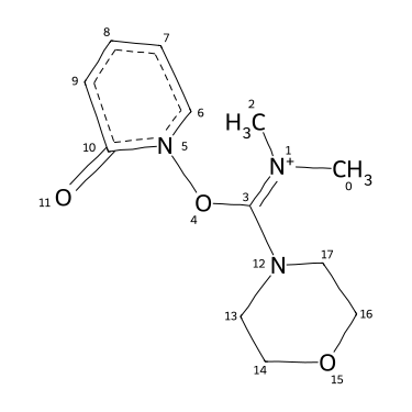 C[N+](C)=C(On1ccccc1=O)N1CCOCC1